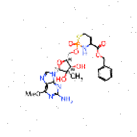 COc1nc(N)nc2c1ncn2[C@@H]1O[C@H](COP2(=O)NC(C(=O)OCc3ccccc3)CCS2)[C@@H](O)[C@@]1(C)O